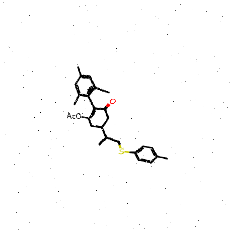 CC(=O)OC1=C(c2c(C)cc(C)cc2C)C(=O)CC(C(C)CSc2ccc(C)cc2)C1